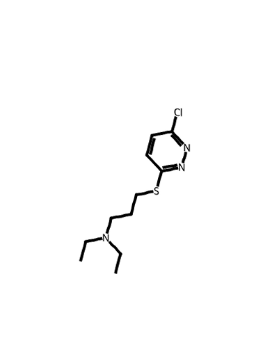 CCN(CC)CCCSc1ccc(Cl)nn1